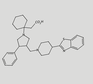 O=C(O)CC1(N2CC(CN3CCC(c4nc5ccccc5s4)CC3)C(c3ccccc3)C2)CCCCC1